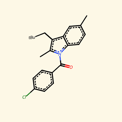 Cc1ccc2c(c1)c(CC(C)(C)C)c(C)n2C(=O)c1ccc(Cl)cc1